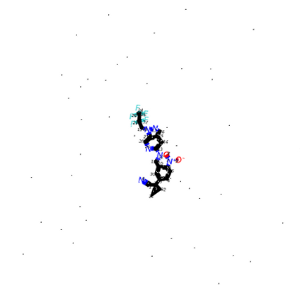 N#CC1(c2ccc([N+](=O)[O-])c(/C=N/c3cc4cnn(CC(F)(F)C(F)(F)F)c4cn3)c2)CC1